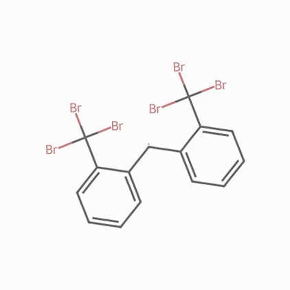 BrC(Br)(Br)c1ccccc1[CH]c1ccccc1C(Br)(Br)Br